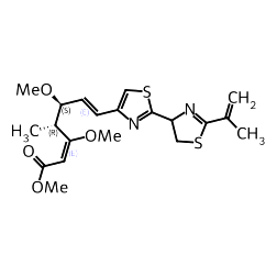 C=C(C)C1=NC(c2nc(/C=C/[C@H](OC)[C@@H](C)/C(=C\C(=O)OC)OC)cs2)CS1